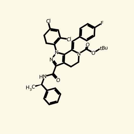 C[C@@H](NC(=O)c1nn(C2=C(Cl)C=C(Cl)CC2)c2c1CCN(C(=O)OC(C)(C)C)/C2=C\c1ccc(F)cc1)c1ccccc1